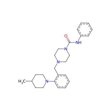 CC1CCN(c2ccccc2CN2CCN(C(=O)Nc3ccccc3)CC2)CC1